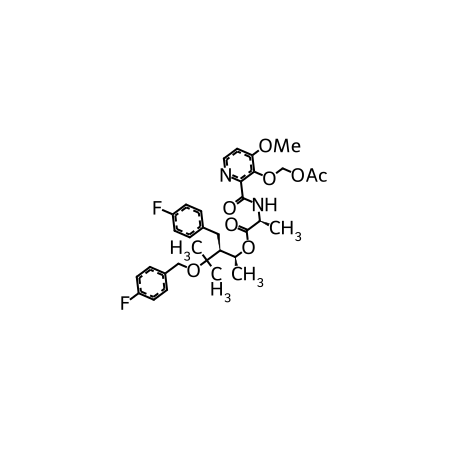 COc1ccnc(C(=O)N[C@@H](C)C(=O)O[C@@H](C)[C@H](Cc2ccc(F)cc2)C(C)(C)OCc2ccc(F)cc2)c1OCOC(C)=O